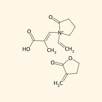 C=C1CCOC1=O.C=C[N+]1(C=C(C)C(=O)O)CCCC1=O